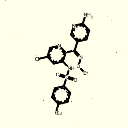 CCON=C(c1ccc(N)nc1)c1ncc(Cl)cc1NS(=O)(=O)c1ccc(C(C)(C)C)cc1